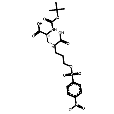 CC(C)(C)OC(=O)N[C@@H](C[C@@H](CCCOS(=O)(=O)c1ccc([N+](=O)[O-])cc1)C(=O)O)C(=O)O